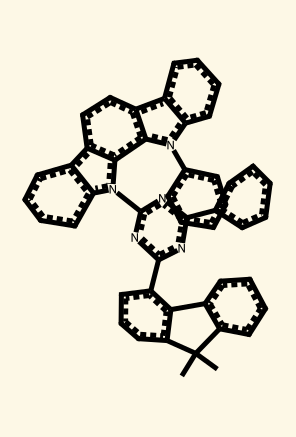 CC1(C)c2ccccc2-c2c(-c3nc(-c4ccccc4)nc(-n4c5ccccc5c5ccc6c7ccccc7n(-c7ccccc7)c6c54)n3)cccc21